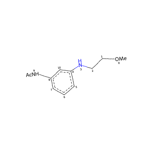 COCCNc1cccc(NC(C)=O)c1